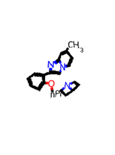 C1CN2CCC12.CCCOc1ccccc1-c1cn2ccc(C)cc2n1